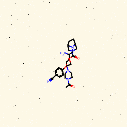 CC(=O)N1CCN(CCOC(=O)N2CC3CCC(C2)N3CC(N)CCOc2ccc(C#N)cc2)CC1